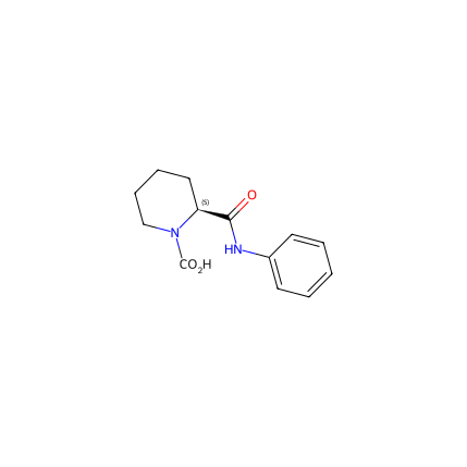 O=C(Nc1ccccc1)[C@@H]1CCCCN1C(=O)O